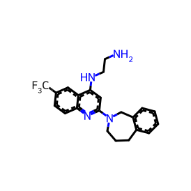 NCCNc1cc(N2CCCc3ccccc3C2)nc2ccc(C(F)(F)F)cc12